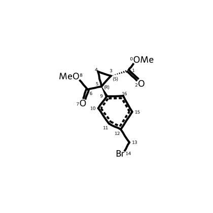 COC(=O)[C@H]1C[C@]1(C(=O)OC)c1ccc(CBr)cc1